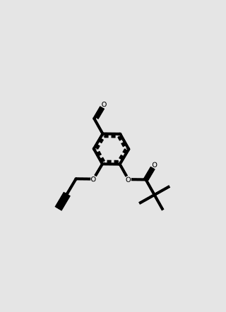 C#CCOc1cc(C=O)ccc1OC(=O)C(C)(C)C